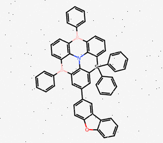 c1ccc(B2c3cccc4c3N3c5c2cccc5[Si](c2ccccc2)(c2ccccc2)c2cc(-c5ccc6oc7ccccc7c6c5)cc(c23)B4c2ccccc2)cc1